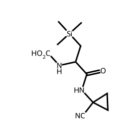 C[Si](C)(C)CC(NC(=O)O)C(=O)NC1(C#N)CC1